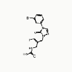 O=C(O)NCC(=CF)Cn1ncn(-c2cccc(Br)c2)c1=O